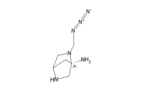 [N-]=[N+]=NCN1CC2C[C@]1(N)CN2